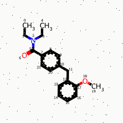 CCN(CC)C(=O)c1ccc(Cc2ccccc2OC)cc1